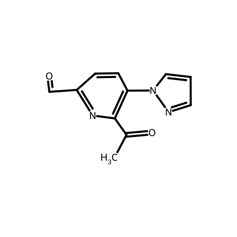 CC(=O)c1nc(C=O)ccc1-n1cccn1